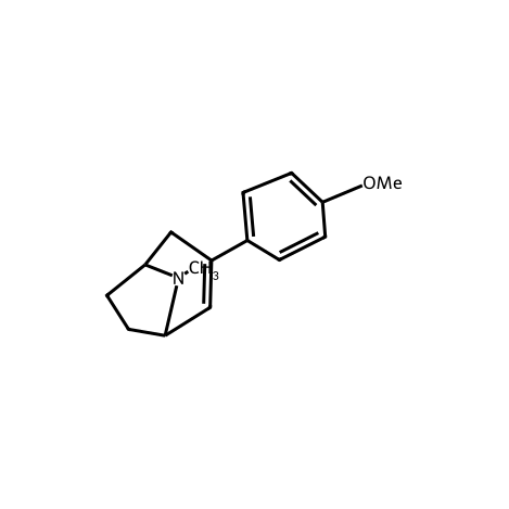 COc1ccc(C2=CC3CCC(C2)N3C)cc1